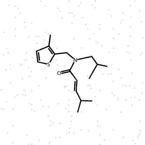 Cc1ccsc1CN(CC(C)C)C(=O)/C=C/C(C)C